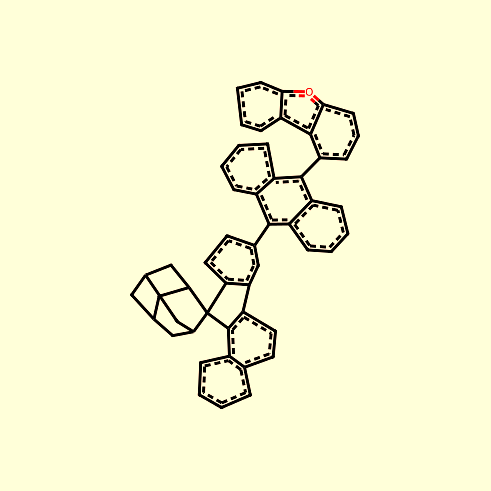 c1ccc2c3c(ccc2c1)-c1cc(-c2c4ccccc4c(-c4cccc5oc6ccccc6c45)c4ccccc24)ccc1C31C2CC3CC(C2)CC1C3